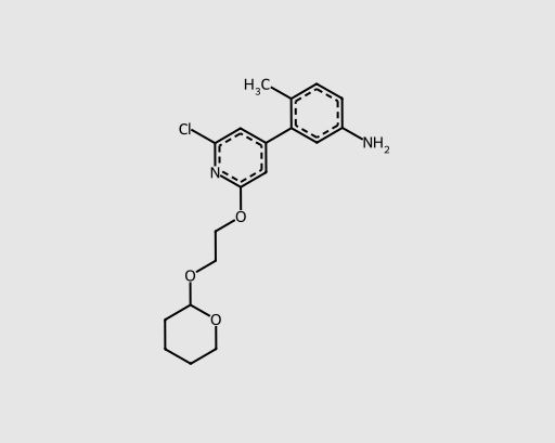 Cc1ccc(N)cc1-c1cc(Cl)nc(OCCOC2CCCCO2)c1